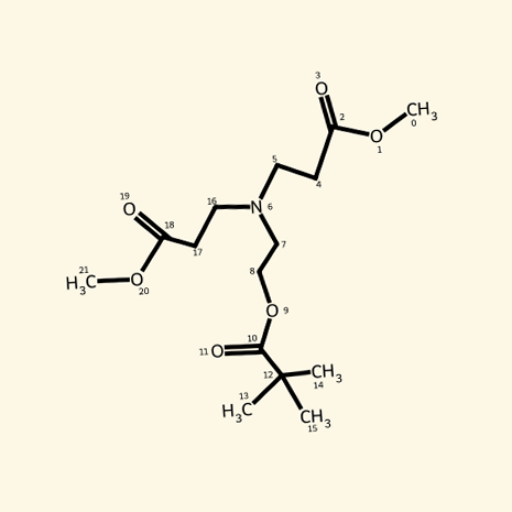 COC(=O)CCN(CCOC(=O)C(C)(C)C)CCC(=O)OC